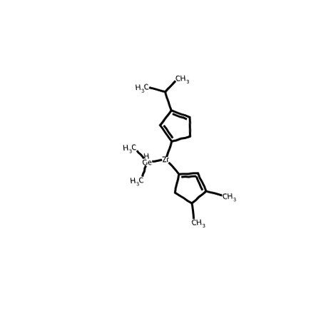 CC1=C=[C]([Zr]([C]2=CC(C(C)C)=CC2)[GeH]([CH3])[CH3])CC1C